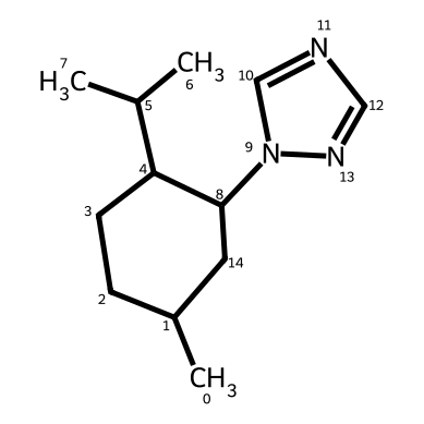 CC1CCC(C(C)C)C(n2cncn2)C1